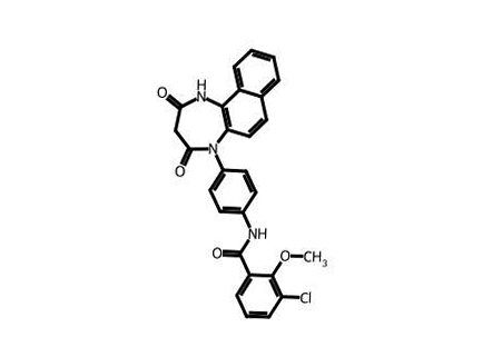 COc1c(Cl)cccc1C(=O)Nc1ccc(N2C(=O)CC(=O)Nc3c2ccc2ccccc32)cc1